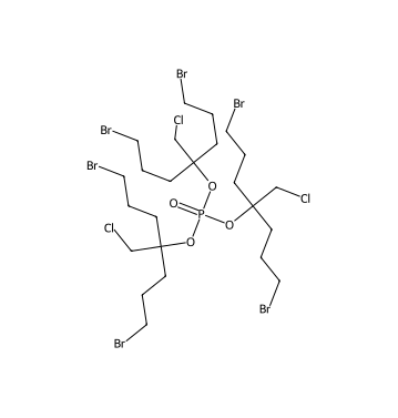 O=P(OC(CCl)(CCCBr)CCCBr)(OC(CCl)(CCCBr)CCCBr)OC(CCl)(CCCBr)CCCBr